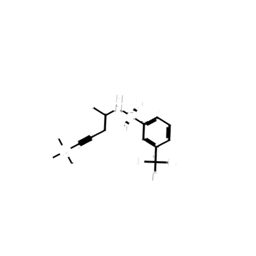 CC(CC#C[Si](C)(C)C)NS(=O)(=O)c1cccc(C(F)(F)F)c1